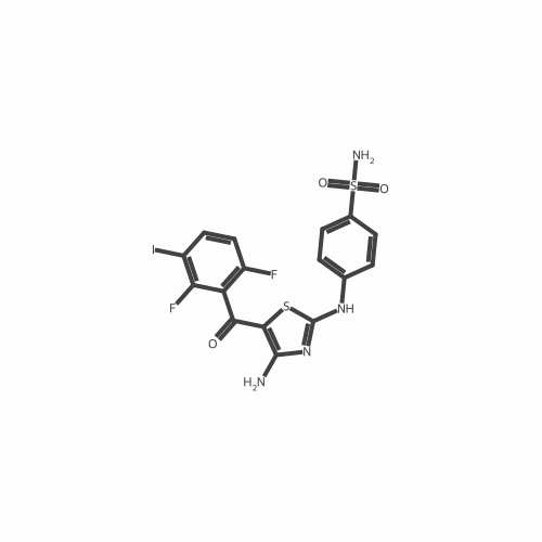 Nc1nc(Nc2ccc(S(N)(=O)=O)cc2)sc1C(=O)c1c(F)ccc(I)c1F